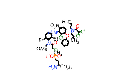 C=CCN(CC=C)C(=O)C(Cl)Cl.CCc1cccc(CC)c1N(COC)C(=O)CCl.CP(=O)(O)CCC(N)C(=O)O.Nc1c([N+](=O)[O-])ccc(Oc2ccccc2)c1Cl